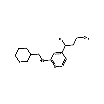 CCCC(O)c1ccnc(NCC2CCCCC2)c1